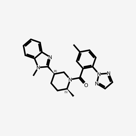 Cc1ccc(-n2nccn2)c(C(=O)N2C[C@H](c3nc4ccccc4n3C)CC[C@@H]2C)c1